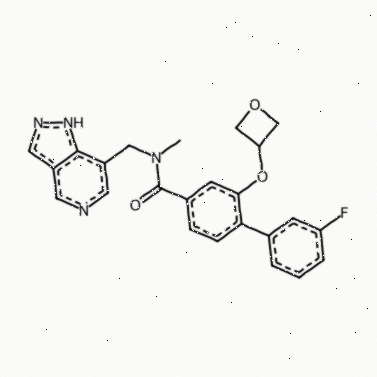 CN(Cc1cncc2cn[nH]c12)C(=O)c1ccc(-c2cccc(F)c2)c(OC2COC2)c1